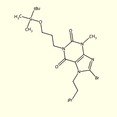 CC(C)CCn1c(Br)nc2c1c(=O)n(CCCO[Si](C)(C)C(C)(C)C)c(=O)n2C